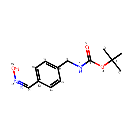 CC(C)(C)OC(=O)NCc1ccc(/C=N\O)cc1